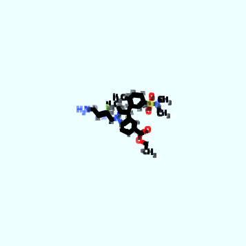 CCOC(=O)c1ccc2c(c1)c(-c1cc(S(=O)(=O)N(C)C)ccc1C)c(C)n2C/C(F)=C/CN